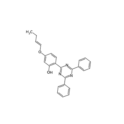 CC/C=C/Oc1ccc(-c2nc(-c3ccccc3)nc(-c3ccccc3)n2)c(O)c1